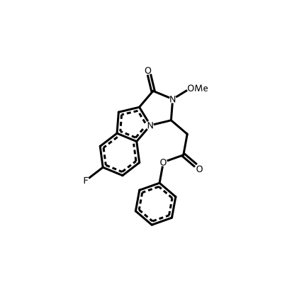 CON1C(=O)c2cc3cc(F)ccc3n2C1CC(=O)Oc1ccccc1